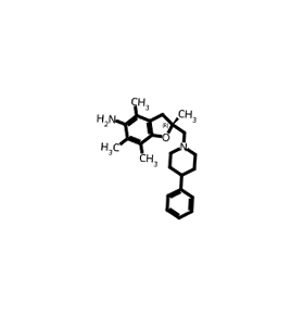 Cc1c(C)c2c(c(C)c1N)C[C@](C)(CN1CCC(c3ccccc3)CC1)O2